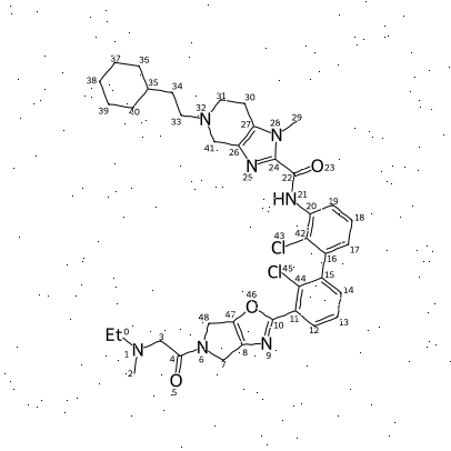 CCN(C)CC(=O)N1Cc2nc(-c3cccc(-c4cccc(NC(=O)c5nc6c(n5C)CCN(CCC5CCCCC5)C6)c4Cl)c3Cl)oc2C1